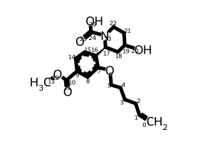 C=CCCCCOc1cc(C(=O)OC)ccc1[C@@H]1CC(O)CCN1C(=O)O